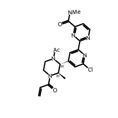 C=CC(=O)N1CCN(C(C)=O)[C@H](c2cc(Cl)nc(-c3nccc(C(=O)NC)n3)c2)[C@H]1C